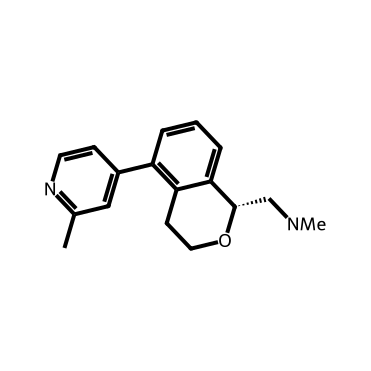 CNC[C@@H]1OCCc2c(-c3ccnc(C)c3)cccc21